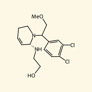 COCC(c1ccc(Cl)c(Cl)c1)N1CCC=C[C@H]1NCCO